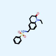 CCN1C(=O)CCc2cc(CNS(=O)(=O)c3ccccc3)ccc21